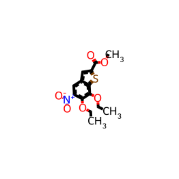 CCOc1c([N+](=O)[O-])cc2cc(C(=O)OC)sc2c1OCC